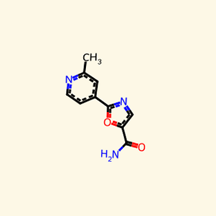 Cc1cc(-c2ncc(C(N)=O)o2)ccn1